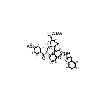 CN[C@@H](C)C(=O)N[C@H]1CN(C(=O)c2ccc(C(C)=O)cc2)c2ccccc2N(CC(=O)Nc2nc3ccccc3s2)C1=O